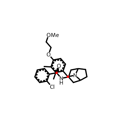 COCCOc1ccc(CN2C3CCC2CC(NC(=O)c2ccccc2Cl)C3)c(C)c1C